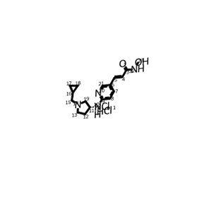 Cl.Cl.O=C(C=Cc1ccc(N[C@@H]2CCN(CC3CC3)C2)nc1)NO